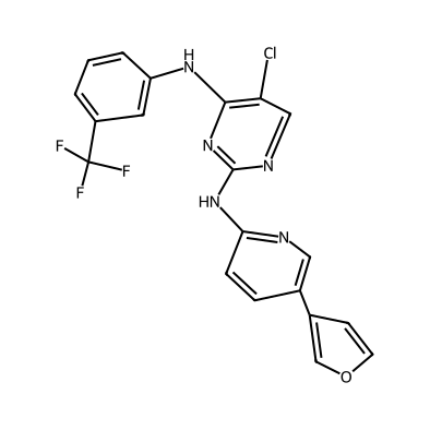 FC(F)(F)c1cccc(Nc2nc(Nc3ccc(-c4ccoc4)cn3)ncc2Cl)c1